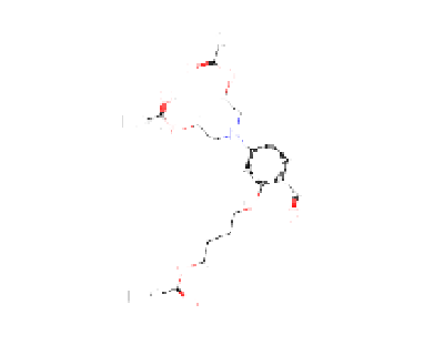 CC(=O)OCCCCOc1cc(N(CCOC(C)=O)CCOC(C)=O)ccc1C=O